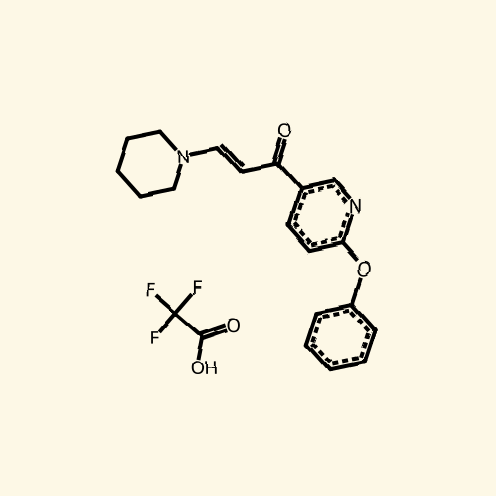 O=C(C=CN1CCCCC1)c1ccc(Oc2ccccc2)nc1.O=C(O)C(F)(F)F